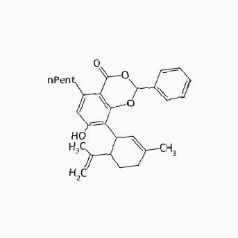 C=C(C)C1CCC(C)=CC1c1c(O)cc(CCCCC)c2c1OC(c1ccccc1)OC2=O